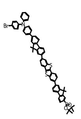 CC1(C)c2cc(B3OC(C)(C)C(C)(C)O3)ccc2-c2ccc(-c3ccc4c(c3)sc3c5ccc(-c6ccc7c(c6)C(C)(C)c6cc(-c8ccc(N(c9ccccc9)c9ccc(Br)cc9)cc8)ccc6-7)cc5sc43)cc21